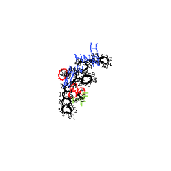 O=C(OC(=O)C(F)(F)F)C(Cc1ccc2ccccc2c1)Cn1cc(-c2ccccc2)c(N2CCC(Nc3nc4ccccc4[nH]3)CC2)nc1=O